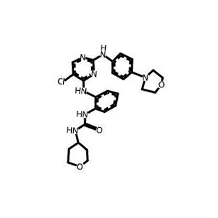 O=C(Nc1ccccc1Nc1nc(Nc2ccc(N3CCOCC3)cc2)ncc1Cl)NC1CCOCC1